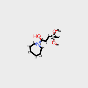 CO[Si](C)(CCC(O)N1CCCCCC1)OC